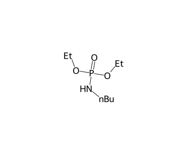 CCCCNP(=O)(OCC)OCC